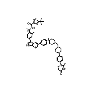 Cc1cc(-c2n[nH]c3ncc(-c4ccc(C5(C)CCN(CC6CCN(c7ccc(N8CCC(=O)NC8=O)cc7)CC6)CC5)cc4)cc23)ccc1[C@@H](C)NC(=O)c1noc(C(C)(C)C)n1